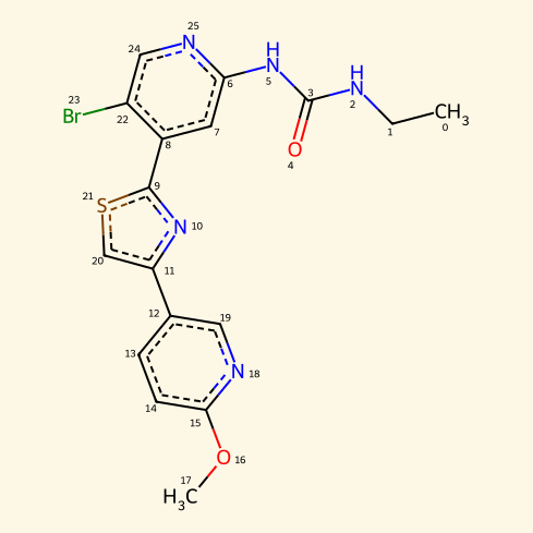 CCNC(=O)Nc1cc(-c2nc(-c3ccc(OC)nc3)cs2)c(Br)cn1